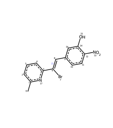 Cc1cccc(/C(Br)=C/c2ccc([N+](=O)[O-])c(O)c2)n1